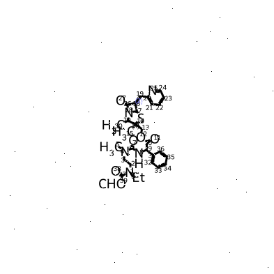 CCN(CCN(C)C(=O)NC(C(=O)OC[C@]1(C)SC2/C(=C\c3ccccn3)C(=O)N2C1C)c1ccccc1)C(=O)C=O